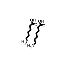 CCCCCCC(=O)O.NCCCCCCC(=O)O